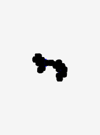 Cc1ccc2c(c1)C1(c3ccccc3-c3ccccc31)c1cc(N(c3ccc(-c4ccc(Cc5ccc6c(c5)C5(c7ccccc7-c7ccccc75)c5cc(N(c7ccc8c(c7)C(C)(C)c7ccccc7-8)c7ccccc7-c7ccccc7)ccc5-6)cc4)cc3)c3ccc4c(c3)C(C)(C)c3ccccc3-4)ccc1-2